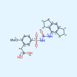 COc1ccc(S(=O)(=O)NC(=O)Nc2c3c(cc4c2CCC4)CCC3)cc1CB(O)O